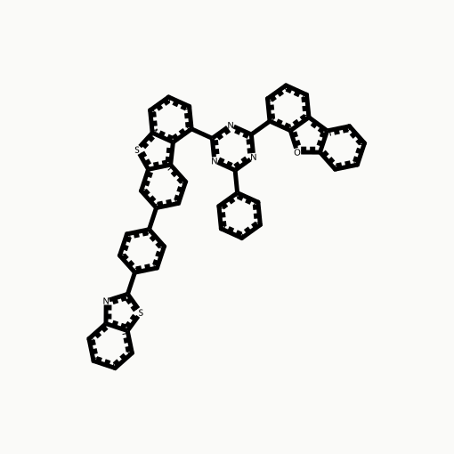 c1ccc(-c2nc(-c3cccc4c3oc3ccccc34)nc(-c3cccc4sc5cc(-c6ccc(-c7nc8ccccc8s7)cc6)ccc5c34)n2)cc1